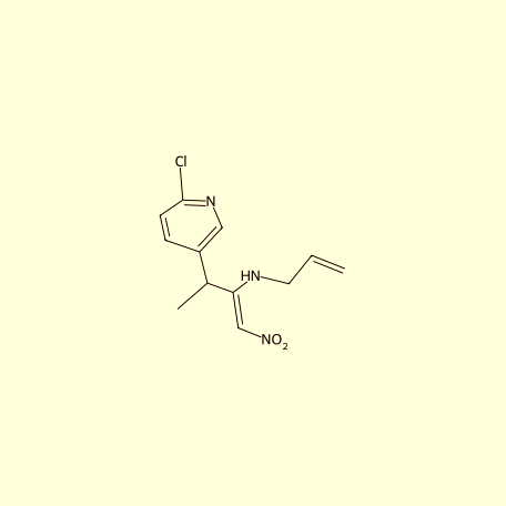 C=CCNC(=C[N+](=O)[O-])C(C)c1ccc(Cl)nc1